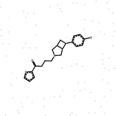 O=C(CCCN1CC2CC(c3ccc(Cl)cc3)C2C1)c1cccs1